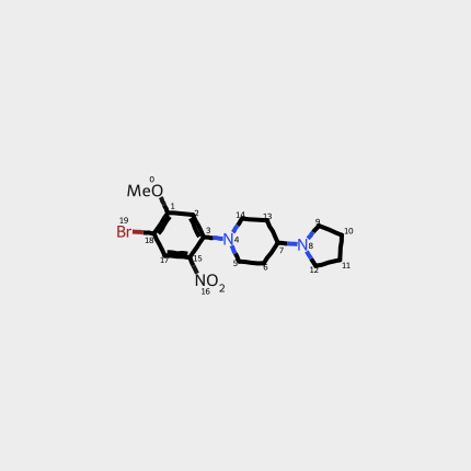 COc1cc(N2CCC(N3CCCC3)CC2)c([N+](=O)[O-])cc1Br